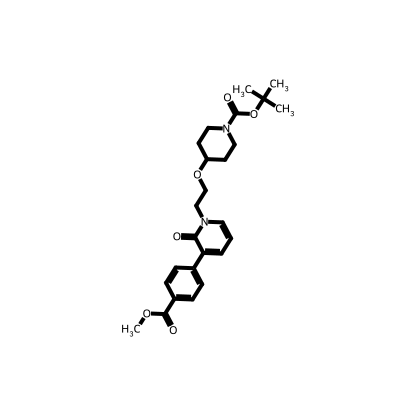 COC(=O)c1ccc(-c2cccn(CCOC3CCN(C(=O)OC(C)(C)C)CC3)c2=O)cc1